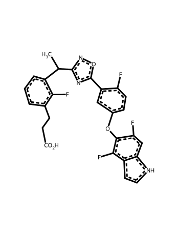 CC(c1noc(-c2cc(Oc3c(F)cc4[nH]ccc4c3F)ccc2F)n1)c1cccc(CCC(=O)O)c1F